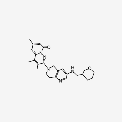 Cc1cc(=O)n2nc(N3CCc4ncc(NCC5CCCOC5)cc4C3)c(C)c(C)c2n1